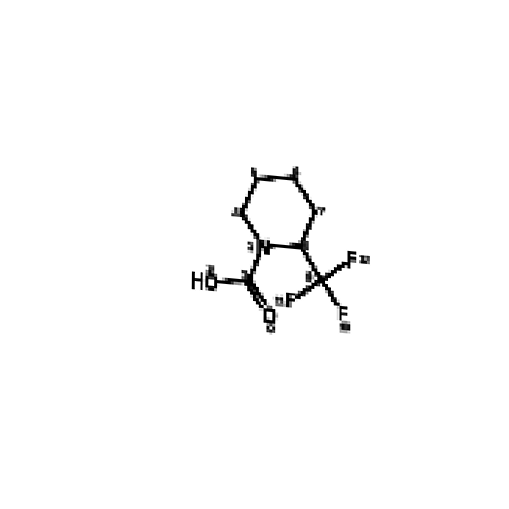 O=C(O)N1CCCCC1C(F)(F)F